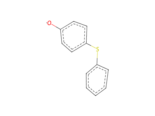 [O]c1ccc(Sc2ccccc2)cc1